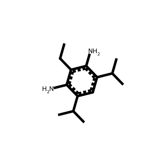 CCc1c(N)c(C(C)C)cc(C(C)C)c1N